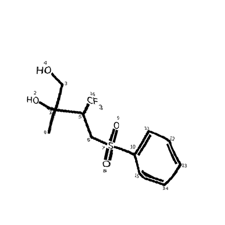 CC(O)(CO)C(CS(=O)(=O)c1ccccc1)C(F)(F)F